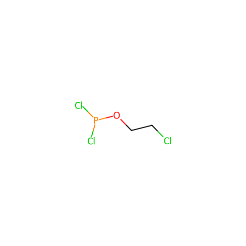 ClCCOP(Cl)Cl